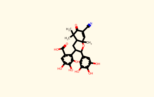 CC12C=C(C#N)C(=O)C(C)(C)C1CC(c1c(C(=O)O)cc(O)c(O)c1O)C(c1cc(O)c(O)c(O)c1)O2